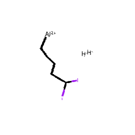 [Al+2][CH2]CCC(I)I.[H-].[H-]